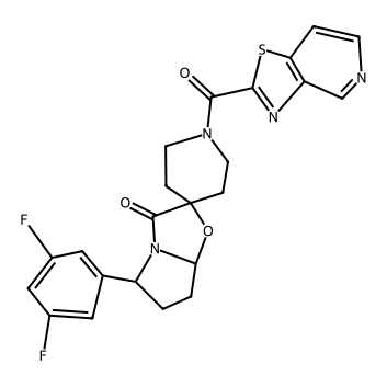 O=C(c1nc2cnccc2s1)N1CCC2(CC1)OC1CCC(c3cc(F)cc(F)c3)N1C2=O